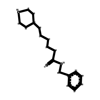 O=C(CCCCCC1CCOCC1)OCc1ccccc1